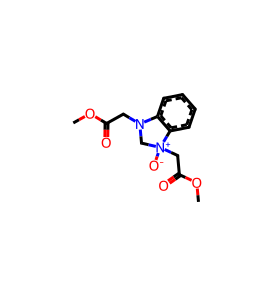 COC(=O)CN1C[N+]([O-])(CC(=O)OC)c2ccccc21